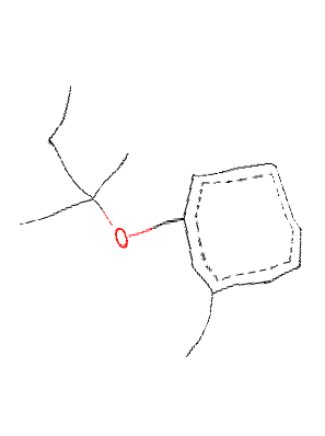 CCC(C)(C)Oc1ccccc1C